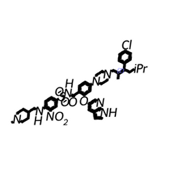 C/C(CN1CCN(c2ccc(C(=O)NS(=O)(=O)c3ccc(NCC4CCN(C)CC4)c([N+](=O)[O-])c3)c(Oc3cnc4[nH]ccc4c3)c2)CC1)=C(\CC(C)C)c1ccc(Cl)cc1